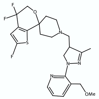 COCc1cccnc1N1CC(CN2CCC3(CC2)OCC(F)(F)c2cc(F)sc23)C(C)=N1